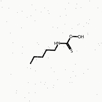 CCCCCNC(=S)OO